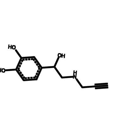 C#CCNCC(O)c1ccc(O)c(O)c1